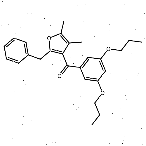 CCCOc1cc(OCCC)cc(C(=O)c2c(Cc3ccccc3)oc(C)c2C)c1